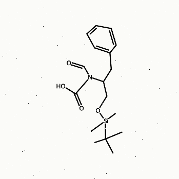 CC(C)(C)[Si](C)(C)OCC(Cc1ccccc1)N(C=O)C(=O)O